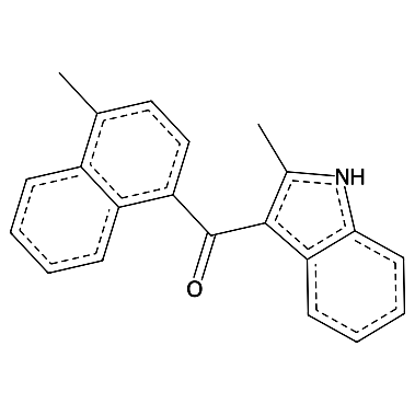 Cc1[nH]c2ccccc2c1C(=O)c1ccc(C)c2ccccc12